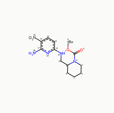 CC(C)(C)OC(=O)N1CCCCC1CNc1ccc([N+](=O)[O-])c(N)n1